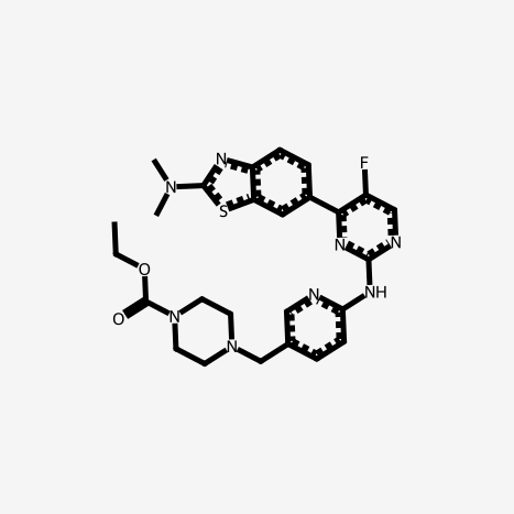 CCOC(=O)N1CCN(Cc2ccc(Nc3ncc(F)c(-c4ccc5nc(N(C)C)sc5c4)n3)nc2)CC1